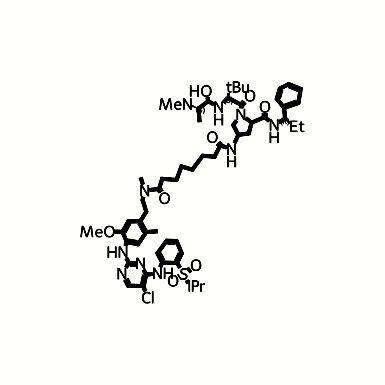 CC[C@@H](NC(=O)C1CC(NC(=O)CCCCCCC(=O)N(C)CCc2cc(OC)c(Nc3ncc(Cl)c(Nc4ccccc4S(=O)(=O)C(C)C)n3)cc2C)CN1C(=O)[C@@H](NC(O)[C@H](C)NC)C(C)(C)C)c1ccccc1